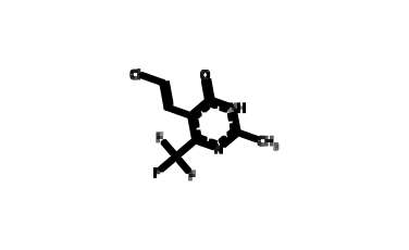 Cc1nc(C(F)(F)F)c(C=CCl)c(=O)[nH]1